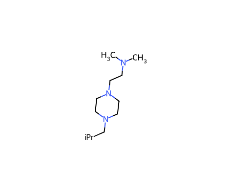 CC(C)CN1CCN(CCN(C)C)CC1